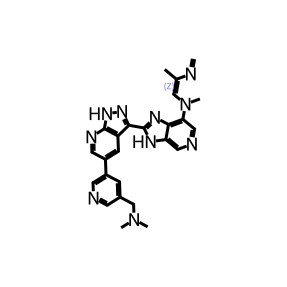 C=N/C(C)=C\N(C)c1cncc2[nH]c(-c3n[nH]c4ncc(-c5cncc(CN(C)C)c5)cc34)nc12